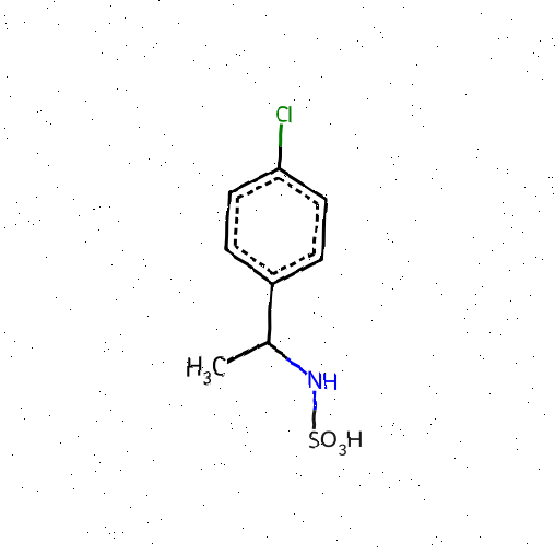 CC(NS(=O)(=O)O)c1ccc(Cl)cc1